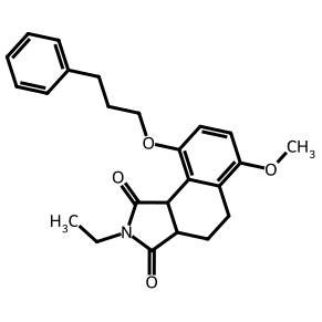 CCN1C(=O)C2CCc3c(OC)ccc(OCCCc4ccccc4)c3C2C1=O